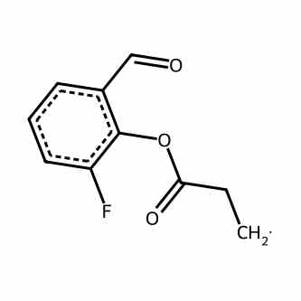 [CH2]CC(=O)Oc1c(F)cccc1C=O